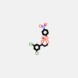 O=[N+]([O-])c1ccc(OP2(=O)OCCC(c3cc(Cl)cc(Cl)c3)O2)cc1